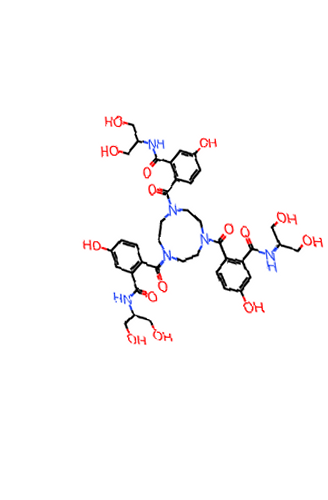 O=C(NC(CO)CO)c1cc(O)ccc1C(=O)N1CCN(C(=O)c2ccc(O)cc2C(=O)NC(CO)CO)CCN(C(=O)c2ccc(O)cc2C(=O)NC(CO)CO)CC1